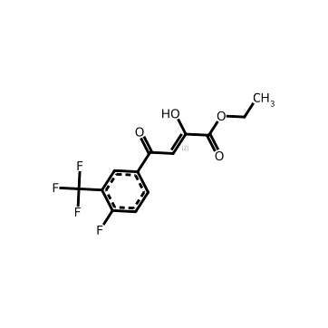 CCOC(=O)/C(O)=C/C(=O)c1ccc(F)c(C(F)(F)F)c1